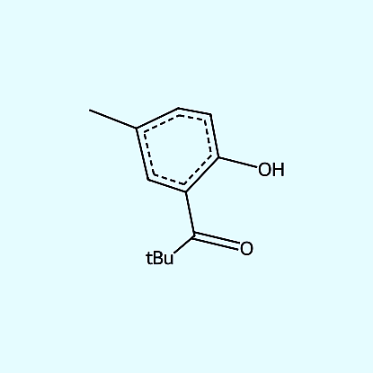 Cc1ccc(O)c(C(=O)C(C)(C)C)c1